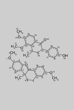 COc1ccc(C2(C)SCc3cc(OC)ccc3C2=O)cc1.COc1ccc2c(c1OC)C(C)SC(c1ccc(O)cc1)C2=O